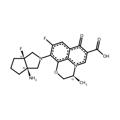 C[C@H]1COc2c(N3C[C@]4(N)CCC[C@]4(F)C3)c(F)cc3c(=O)c(C(=O)O)cn1c23